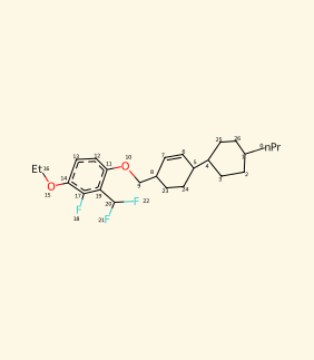 CCCC1CCC(C2C=CC(COc3ccc(OCC)c(F)c3C(F)F)CC2)CC1